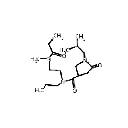 CCCN(CCN(C)C(=O)CC)C(=O)C1CC(=O)N(CC(C)C)C1